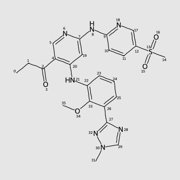 CCC(=O)c1cnc(Nc2ccc(S(C)(=O)=O)cn2)cc1Nc1cccc(-c2ncn(C)n2)c1OC